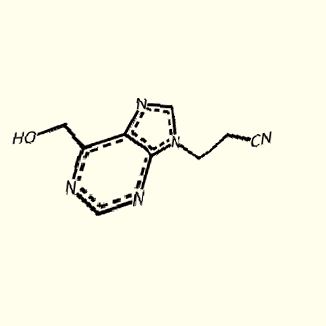 N#CCCn1cnc2c(CO)ncnc21